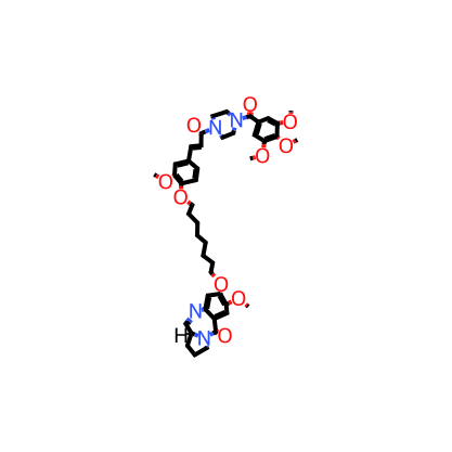 COc1cc(C=CC(=O)N2CCN(C(=O)c3cc(OC)c(OC)c(OC)c3)CC2)ccc1OCCCCCCCCOc1cc2c(cc1OC)C(=O)N1CCC[C@H]1C=N2